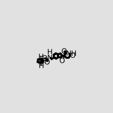 O=C1CCC(N2Cc3ccc(CNC(=O)O[C@H]4C[C@@H]5CC[C@H]4O5)cc3C2=O)C(=O)N1